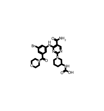 NC(=O)c1cnc(N2CCCC(NC(=O)O)C2)nc1Nc1cc(Br)cc(C(=O)N2CCOCC2)c1